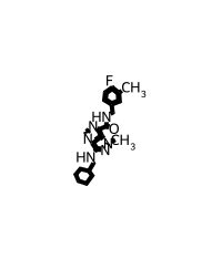 Cc1cc(CNC(=O)c2ncnc3c(NCC4CCCCC4)nn(C)c23)ccc1F